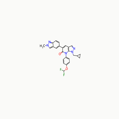 Cn1cc2cc(-c3cc4cnn(CC5CC5)c4n(-c4ccc(OC(F)F)cc4)c3=O)ccc2n1